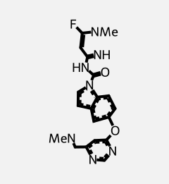 CNCc1cc(Oc2ccc3c(ccn3C(=O)NC(=N)/C=C(/F)NC)c2)ncn1